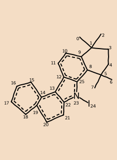 CC1(C)CCC(C)(C)c2c1ccc1c3c4ccccc4ccc3n(I)c21